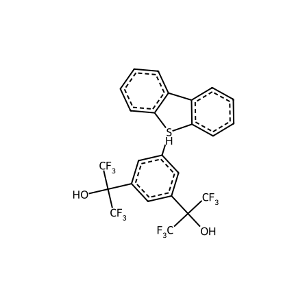 OC(c1cc([SH]2c3ccccc3-c3ccccc32)cc(C(O)(C(F)(F)F)C(F)(F)F)c1)(C(F)(F)F)C(F)(F)F